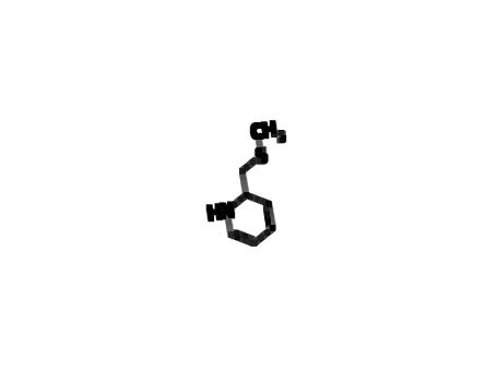 CSCC1C=CC=CN1